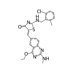 CCOc1nc(NC)nc2ccc(/C=C3\SC(NCc4c(C)cccc4Cl)=NC3=O)cc12